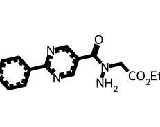 CCOC(=O)CN(N)C(=O)c1cnc(-c2ccccc2)nc1